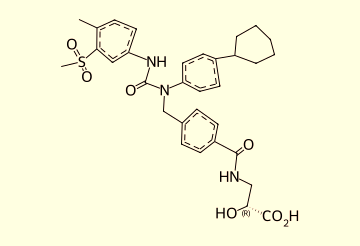 Cc1ccc(NC(=O)N(Cc2ccc(C(=O)NC[C@@H](O)C(=O)O)cc2)c2ccc(C3CCCCC3)cc2)cc1S(C)(=O)=O